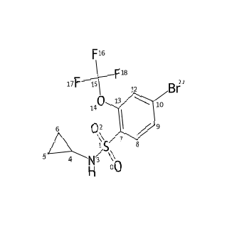 O=S(=O)(NC1CC1)c1ccc(Br)cc1OC(F)(F)F